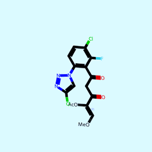 CO/C=C(\OC(C)=O)C(=O)CC(=O)c1c(-n2cc(Cl)nn2)ccc(Cl)c1F